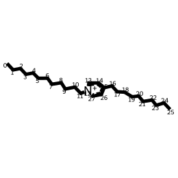 CCCCCCCCCCCC[n+]1ccc(CCCCCCCCCC)cc1